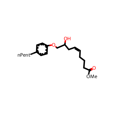 CCCCCc1ccc(OCC(O)C/C=C\CCCC(=O)OC)cc1